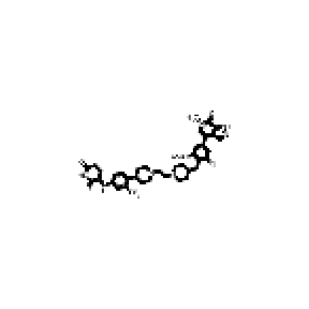 COc1cc(-c2cn(C)c(=O)c3[nH]ncc23)cc(Cl)c1CC1CCN(CCN2CCC(c3ccc(NC4CCC(=O)NC4=O)cc3C(F)(F)F)CC2)CC1